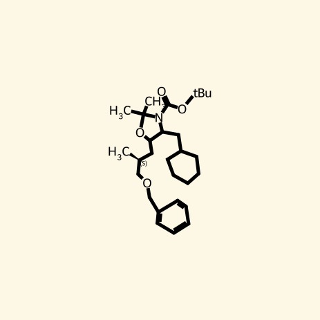 C[C@H](COCc1ccccc1)CC1OC(C)(C)N(C(=O)OC(C)(C)C)C1CC1CCCCC1